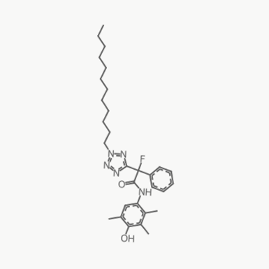 CCCCCCCCCCCCn1nnc(C(F)(C(=O)Nc2cc(C)c(O)c(C)c2C)c2ccccc2)n1